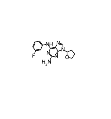 Nc1nc(Nc2cccc(F)c2)c2ncn(C3CCCO3)c2n1